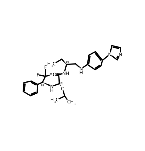 CC[C@@H](CNc1ccc(-n2ccnc2)cc1)NC(=O)[C@H](CC(C)C)N[C@@H](c1ccccc1)C(F)(F)F